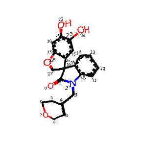 O=C1N(CC2CCOCC2)c2ccccc2C12COc1cc(O)c(O)cc12